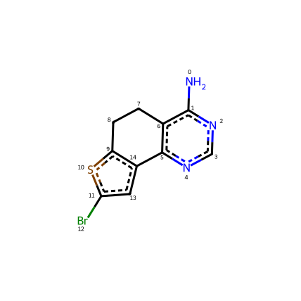 Nc1ncnc2c1CCc1sc(Br)cc1-2